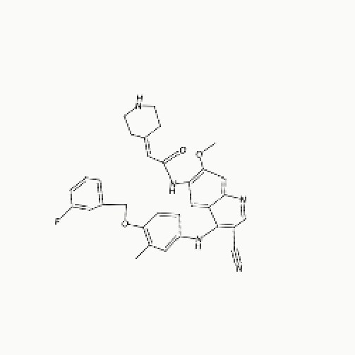 COc1cc2ncc(C#N)c(Nc3ccc(OCc4cccc(F)c4)c(C)c3)c2cc1NC(=O)C=C1CCNCC1